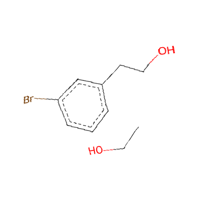 CCO.OCCc1cccc(Br)c1